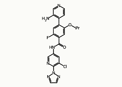 CC(C)Oc1cc(C(=O)Nc2cnc(-n3nccn3)c(Cl)c2)c(F)cc1-c1ccncc1N